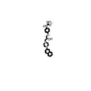 NC(=O)Nc1ccc(OC[C@H](O)CN2CCN(c3ccc4ccccc4c3)CC2)cc1